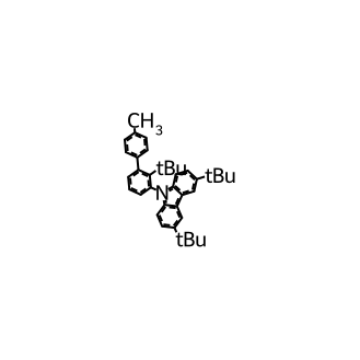 Cc1ccc(-c2cccc(-n3c4ccc(C(C)(C)C)cc4c4cc(C(C)(C)C)ccc43)c2C(C)(C)C)cc1